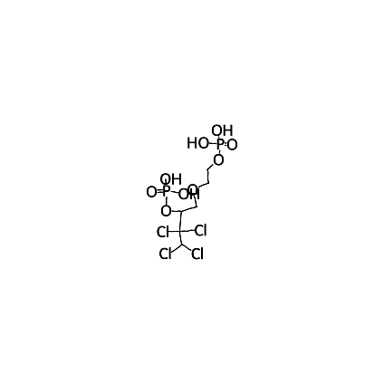 O=P(O)(O)OCCOCC(OP(=O)(O)O)C(Cl)(Cl)C(Cl)Cl